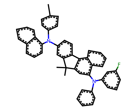 Cc1ccc(N(c2ccc3c(c2)C(C)(C)c2cc(N(c4ccccc4)c4cccc(F)c4)c4ccccc4c2-3)c2cccc3ccccc23)cc1